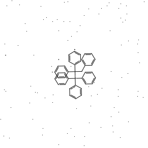 [c]1ccc(C(Cc2ccccc2)(c2cc[c]cc2)C(c2ccccc2)(c2ccccc2)c2ccccc2)cc1